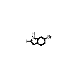 Brc1ccc2cc(I)[nH]c2c1